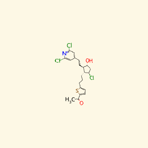 CC(=O)c1ccc(CCC[C@@H]2[C@@H](C=Cc3cc(Cl)nc(Cl)c3)[C@H](O)C[C@H]2Cl)s1